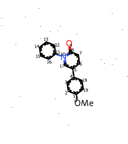 COc1ccc(-c2ccc(=O)n(-c3ccccc3)c2)cc1